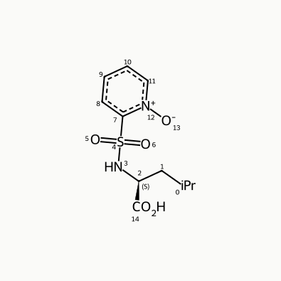 CC(C)C[C@H](NS(=O)(=O)c1cccc[n+]1[O-])C(=O)O